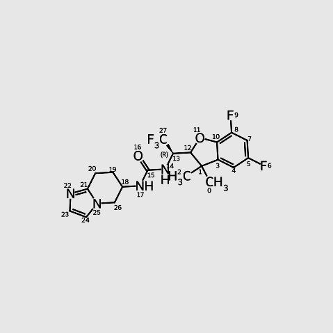 CC1(C)c2cc(F)cc(F)c2OC1[C@@H](NC(=O)NC1CCc2nccn2C1)C(F)(F)F